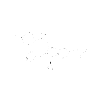 O=C1CC2(CC2)c2ccc(F)cc2-n2cccc2CN1[C@@H](c1ccc(OC(F)F)cc1)C1CC1